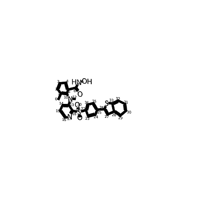 Cc1cccc(C(=O)NO)c1N(C)c1cccnc1S(=O)(=O)c1ccc(-c2cc3ccccc3s2)cc1